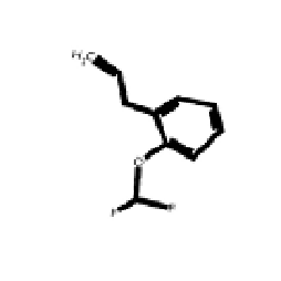 C=CCc1ccccc1OC(F)F